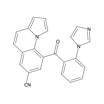 N#Cc1cc(C(=O)c2ccccc2-n2ccnc2)c2c(ccc3cccn32)c1